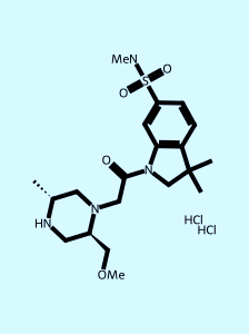 CNS(=O)(=O)c1ccc2c(c1)N(C(=O)CN1C[C@@H](C)NC[C@@H]1COC)CC2(C)C.Cl.Cl